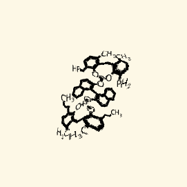 CCCc1ccc(C)c2c1OP(Oc1ccc3ccccc3c1-c1c(OP3Oc4c(P)ccc(C)c4Cc4c(C)ccc(C=P)c4O3)ccc3ccccc13)Oc1c(CCC)ccc(C)c1C2